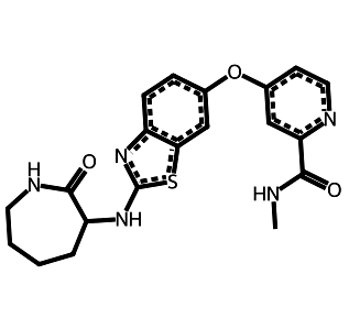 CNC(=O)c1cc(Oc2ccc3nc(NC4CCCCNC4=O)sc3c2)ccn1